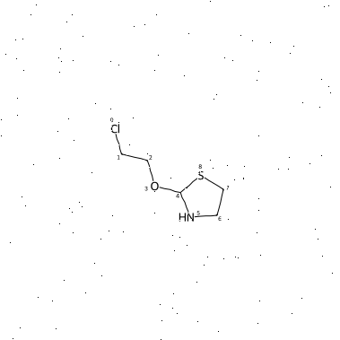 ClCCOC1NCCS1